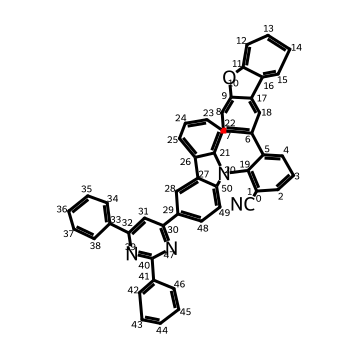 N#Cc1cccc(-c2ccc3oc4ccccc4c3c2)c1-n1c2ccccc2c2cc(-c3cc(-c4ccccc4)nc(-c4ccccc4)n3)ccc21